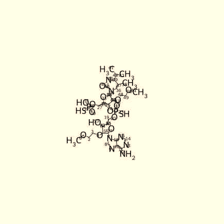 COCCOC1C(n2cnc3c(N)ncnc32)O[C@H](COP(=O)(S)OC2[C@@H](COP(=O)(O)S)O[C@@H](n3cc(C)c(C(C)C)nc3=O)[C@H]2OCCOC)[C@@H]1O